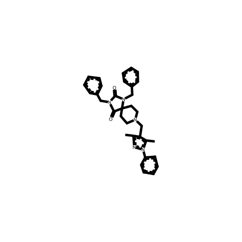 Cc1nn(-c2ccccc2)c(C)c1CN1CCC2(CC1)C(=O)N(Cc1ccccc1)C(=O)N2Cc1ccccc1